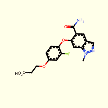 Cn1ncc2cc(C(N)=O)c(Oc3ccc(OCCC(=O)O)cc3F)cc21